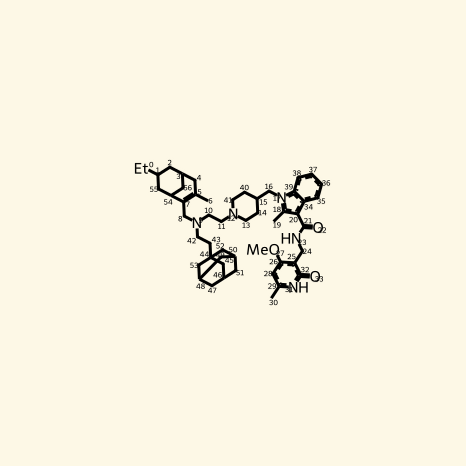 CCC1CC2CC(C)=C(CN(CCN3CCC(Cn4c(C)c(C(=O)NCc5c(OC)cc(C)[nH]c5=O)c5ccccc54)CC3)CCC34CC5CC(CC(C5)C3)C4)C(C1)C2